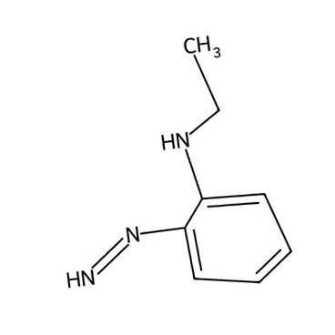 CCNc1ccccc1N=N